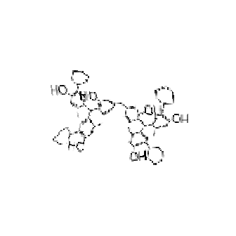 Cc1cc(O)c(C2CCCCC2)cc1C(c1cc(C2CCCCC2)c(O)cc1C)c1ccc(Cc2ccc(C(c3cc(C4CCCCC4)c(O)cc3C)c3cc(C4CCCCC4)c(O)cc3C)c(O)c2)cc1O